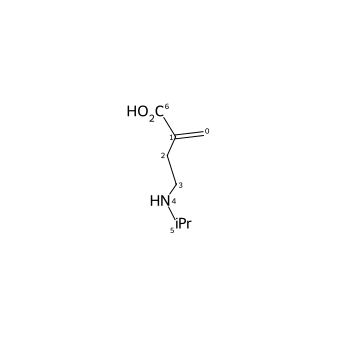 C=C(CCNC(C)C)C(=O)O